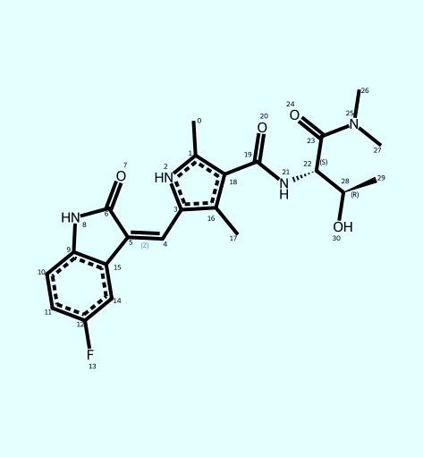 Cc1[nH]c(/C=C2\C(=O)Nc3ccc(F)cc32)c(C)c1C(=O)N[C@H](C(=O)N(C)C)[C@@H](C)O